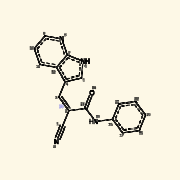 N#C/C(=C/c1c[nH]c2ncccc12)C(=O)Nc1ccccc1